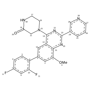 COc1cc(-c2ccc(F)cc2F)cc2c(N3CCNC(=O)C3)nc(-c3cccnc3)nc12